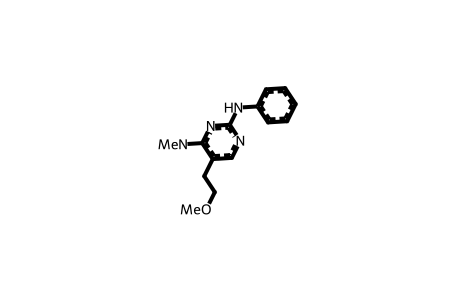 CNc1nc(Nc2ccccc2)ncc1CCOC